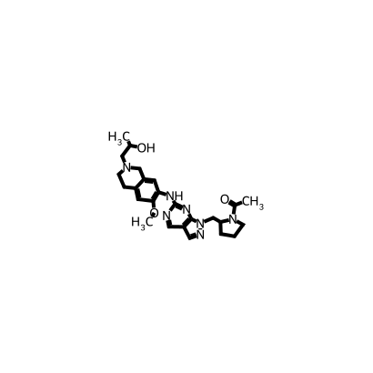 COc1cc2c(cc1Nc1ncc3cnn(CC4CCCN4C(C)=O)c3n1)CN(CC(C)O)CC2